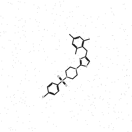 Cc1cc(C)c(Cc2csc(N3CCN(S(=O)(=O)c4ccc(Cl)cc4)CC3)n2)c(C)c1